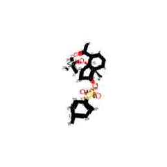 CC(=O)C1=CCC[C@]2(C)C(OS(=O)(=O)c3ccc(C)cc3)CC[C@]12O[Si](C)(C)C